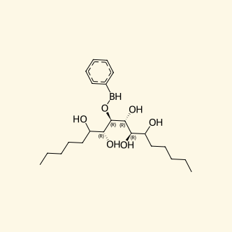 CCCCCC(O)[C@@H](O)[C@@H](O)[C@H](OBc1ccccc1)[C@H](O)C(O)CCCCC